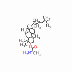 CC(C)=CCC[C@@H](C)[C@H]1CC[C@@]2(C)C3=C(CC[C@]12C)[C@@]1(C)CC[C@H](OC(=O)[C@H](C)N)C(C)(C)C1CC3